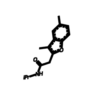 Cc1ccc2oc(CC(=O)NC(C)C)c(C)c2c1